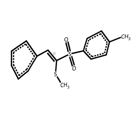 CS/C(=C\c1ccccc1)S(=O)(=O)c1ccc(C)cc1